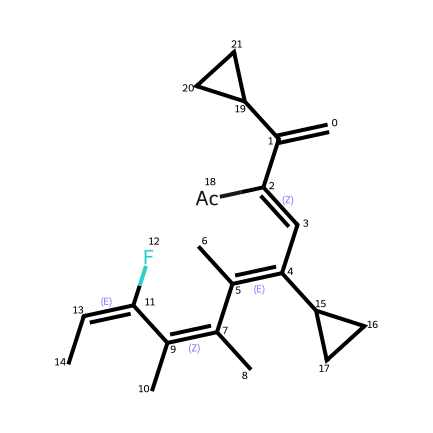 C=C(/C(=C/C(=C(C)/C(C)=C(C)\C(F)=C/C)C1CC1)C(C)=O)C1CC1